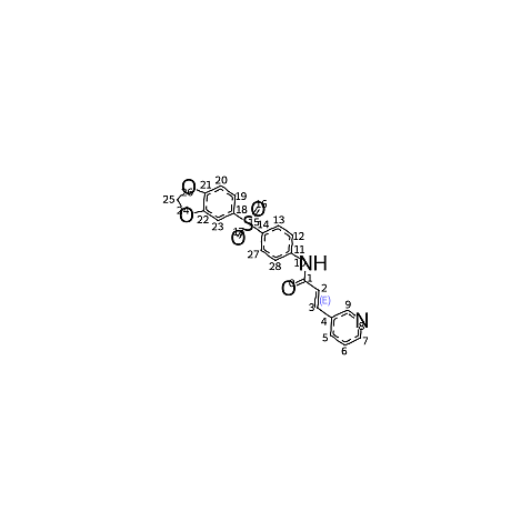 O=C(/C=C/c1cccnc1)Nc1ccc(S(=O)(=O)c2ccc3c(c2)OCO3)cc1